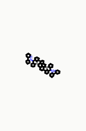 c1ccc(-c2ccccc2NC2c3ccccc3B3c4c(cccc42)-c2ccc4cc5c6c(ccc7cc3c2c4c76)-c2cccc3c2B5c2ccccc2C3Nc2ccccc2-c2ccccc2)cc1